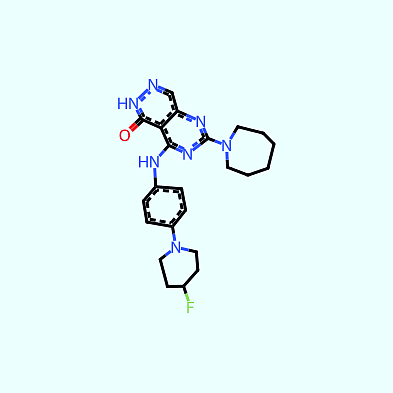 O=c1[nH]ncc2nc(N3CCCCCC3)nc(Nc3ccc(N4CCC(F)CC4)cc3)c12